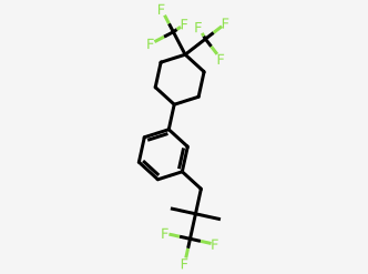 CC(C)(Cc1cccc(C2CCC(C(F)(F)F)(C(F)(F)F)CC2)c1)C(F)(F)F